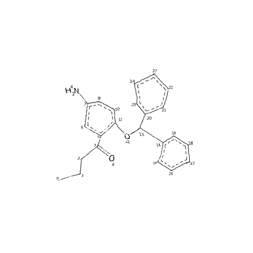 CCCC(=O)c1cc(N)ccc1OC(c1ccccc1)c1ccccc1